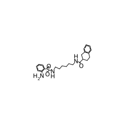 Nc1ccccc1S(=O)(=O)NCCCCCCNC(=O)C1CCc2ccccc2C1